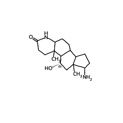 CC12C[C@H](O)C3C(CCC4NC(=O)CCC43C)C1CCC2N